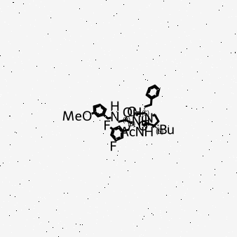 CC[C@H](C)C1(NC(C)=O)CCN([C@@H](CCc2ccccc2)C(=O)N[C@@H](Cc2cc(F)cc(F)c2)[C@H](O)CNCc2cccc(OC)c2)C1=O